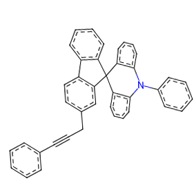 C(#Cc1ccccc1)Cc1ccc2c(c1)C1(c3ccccc3-2)c2ccccc2N(c2ccccc2)c2ccccc21